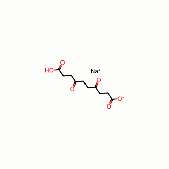 O=C([O-])CCC(=O)CCC(=O)CCC(=O)O.[Na+]